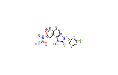 CCn1c(=O)n(Cc2cccc(Br)c2)c2ccc([N+](=O)[O-])c(CC(=O)N(C)C(N)=O)c21